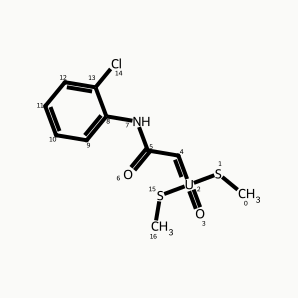 C[S][U](=[O])(=[CH]C(=O)Nc1ccccc1Cl)[S]C